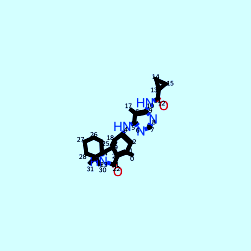 Cc1cc(Nc2ncnc(NC(=O)C3CC3)c2C)cc2c1C(=O)NC21CCCCC1(C)C